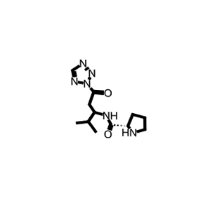 CC(C)C(CC(=O)n1ncnn1)NC(=O)[C@@H]1CCCN1